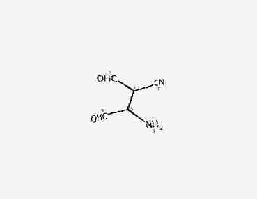 N#CC(C=O)C(N)C=O